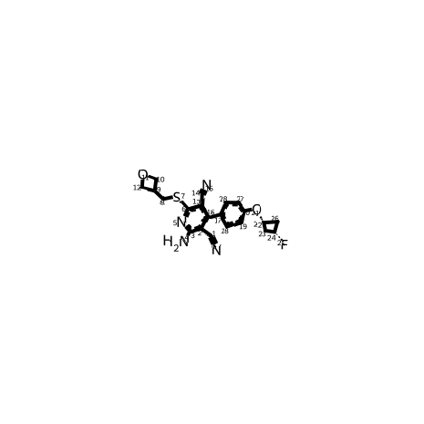 N#Cc1c(N)nc(SCC2COC2)c(C#N)c1-c1ccc(O[C@H]2C[C@@H](F)C2)cc1